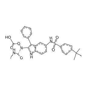 CNC(=O)N(OC(=O)O)c1[nH]c2ccc(NS(=O)(=O)c3ccc(C(C)(C)C)cc3)cc2c1-c1ccccc1